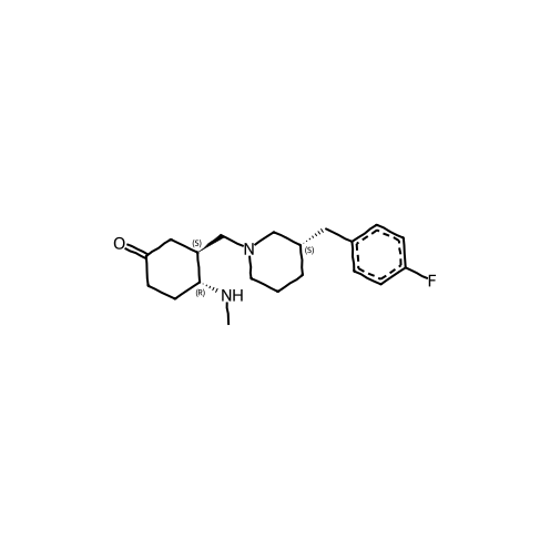 CN[C@@H]1CCC(=O)C[C@H]1CN1CCC[C@@H](Cc2ccc(F)cc2)C1